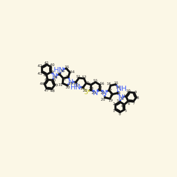 c1ccc2c(c1)c1ccccc1n2C1NCCC2C1CCN2C1=NC2SC3NC(N4CCC5C4CCNC5n4c5ccccc5c5ccccc54)CCC3C2CC1